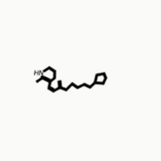 C=C(/C=C\C1=C(C)NCCC1)CCCCCC1CCCC1